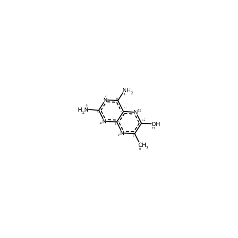 Cc1nc2nc(N)nc(N)c2nc1O